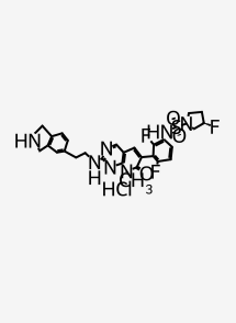 Cl.Cn1c(=O)c(-c2c(F)ccc(NS(=O)(=O)N3CC[C@@H](F)C3)c2F)cc2cnc(NCCc3ccc4c(c3)CNCC4)nc21